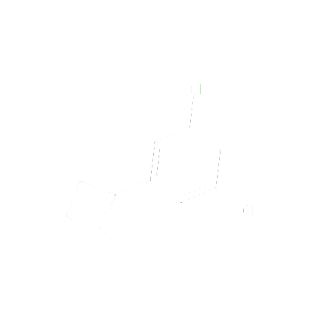 Clc1cc(Cl)cc(C2[CH]CS2)c1